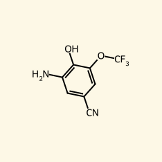 N#Cc1cc(N)c(O)c(OC(F)(F)F)c1